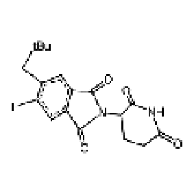 CC(C)(C)Cc1cc2c(cc1F)C(=O)N(C1CCC(=O)NC1=O)C2=O